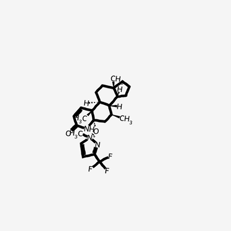 C[C@H]1C[C@@]2(O[N+]3(C)C=CC(C(F)(F)F)=N3)NC(=O)C=C[C@]2(C)[C@H]2CC[C@]3(C)CCC[C@H]3[C@H]12